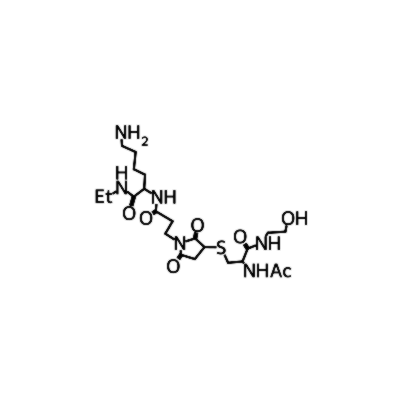 CCNC(=O)C(CCCCN)NC(=O)CCN1C(=O)CC(SCC(NC(C)=O)C(=O)NCCO)C1=O